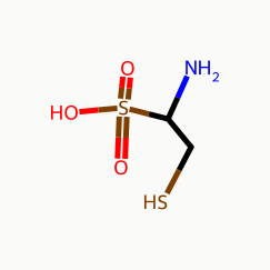 NC(CS)S(=O)(=O)O